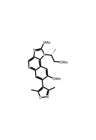 COC[C@@H](C)n1c(SC)nc2cnc3cc(-c4c(C)noc4C)c(OC)cc3c21